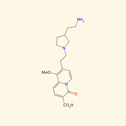 COc1c(CCN2CCC(CCN)C2)ccn2c(=O)c(C(=O)O)ccc12